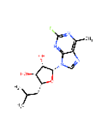 Cc1nc(F)nc2c1ncn2[C@@H]1O[C@H](CC(C)C)[C@@H](O)[C@@H]1O